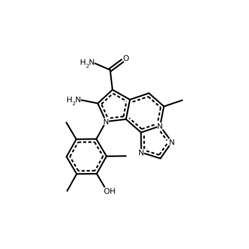 Cc1cc(C)c(-n2c(N)c(C(N)=O)c3cc(C)n4ncnc4c32)c(C)c1O